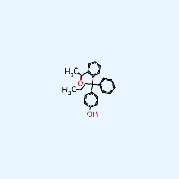 CCCC(c1ccccc1)(c1ccc(O)cc1)c1ccccc1C(C)=O